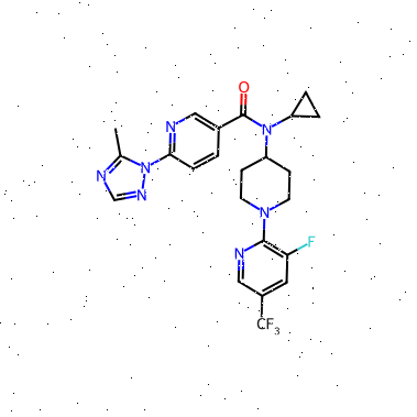 Cc1ncnn1-c1ccc(C(=O)N(C2CC2)C2CCN(c3ncc(C(F)(F)F)cc3F)CC2)cn1